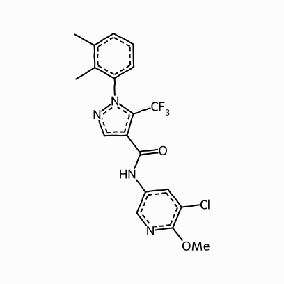 COc1ncc(NC(=O)c2cnn(-c3cccc(C)c3C)c2C(F)(F)F)cc1Cl